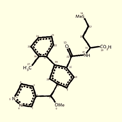 COC(c1ccnnc1)c1ccc(C(=O)NC(CCSC)C(=O)O)c(-c2ccccc2C)c1